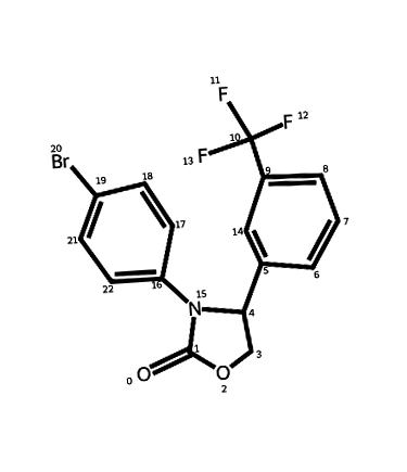 O=C1OCC(c2cccc(C(F)(F)F)c2)N1c1ccc(Br)cc1